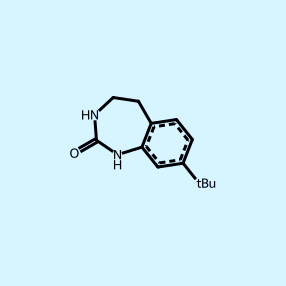 CC(C)(C)c1ccc2c(c1)NC(=O)NCC2